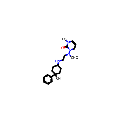 CCN1C=CCN(N(C=O)CCNC2CCC(C#N)(c3ccccc3)CC2)C1=O